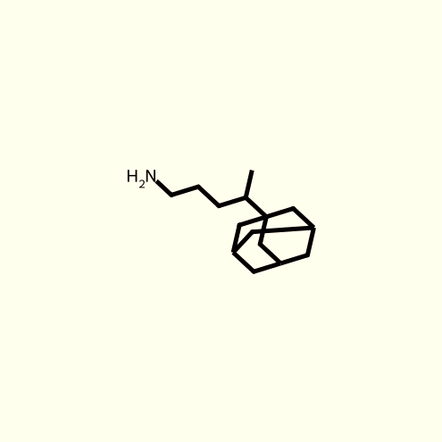 CC(CCCN)C12CC3CC(CC(C3)C1)C2